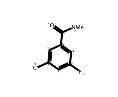 CNC(=O)c1cc(F)cc(Cl)c1